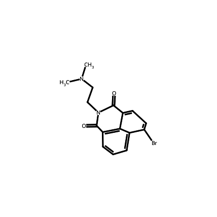 CN(C)CCN1C(=O)c2cccc3c(Br)ccc(c23)C1=O